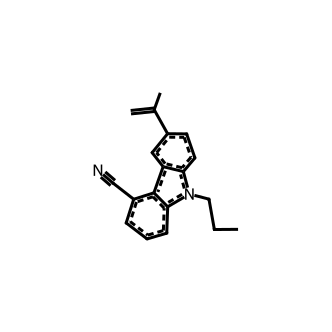 C=C(C)c1ccc2c(c1)c1c(C#N)cccc1n2CCC